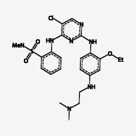 CCOc1cc(NCCN(C)C)ccc1Nc1ncc(Cl)c(Nc2ccccc2S(=O)(=O)NC)n1